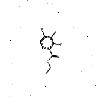 CCOC(=O)c1ccc(F)c(C)c1F